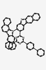 c1ccc(-c2ccc(-c3nc(-c4ccccc4)nc(-c4cc5c(cc4-n4c6cc7ccccc7cc6c6ccc7ccccc7c64)sc4cc6ccccc6cc45)n3)cc2)cc1